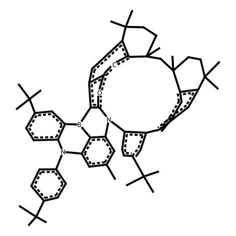 Cc1cc2c3c(c1)N1c4ccc(C(C)(C)C)cc4-c4ccc5c(c4)C(C)(C)CCC5(C)CC4(C)CCC(C)(C)c5cc6c(c1oc6cc54)B3c1cc(C(C)(C)C)ccc1N2c1ccc(C(C)(C)C)cc1